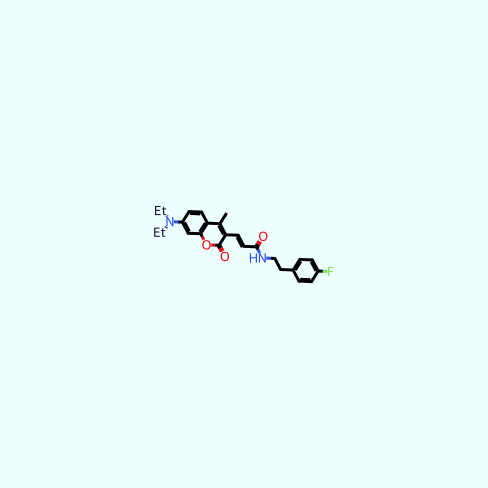 CCN(CC)c1ccc2c(C)c(C=CC(=O)NCCc3ccc(F)cc3)c(=O)oc2c1